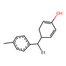 CCC(c1ccc(C)cc1)C1C=CC(O)=CC1